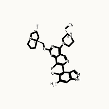 Cc1cc2[nH]ncc2c(-c2ncc3c(N4CCN[C@@H](CC#N)C4)nc(OC[C@@]45CCCN4C[C@H](F)C5)nc3c2F)c1Cl